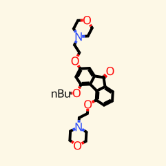 CCCCOc1cc(OCCN2CCOCC2)cc2c1-c1c(OCCN3CCOCC3)cccc1C2=O